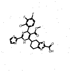 COC(=O)C1=C(C2CCc3nc(C(=O)O)oc3C2)NC(c2nccs2)=NC1c1ccc(F)c(F)c1Cl